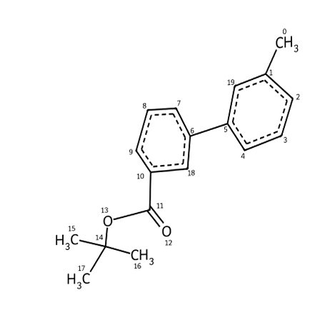 Cc1cccc(-c2cccc(C(=O)OC(C)(C)C)c2)c1